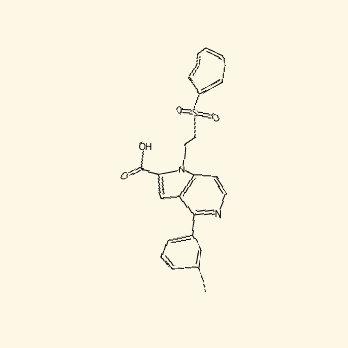 Cc1cccc(-c2nccc3c2cc(C(=O)O)n3CCS(=O)(=O)c2ccccc2)c1